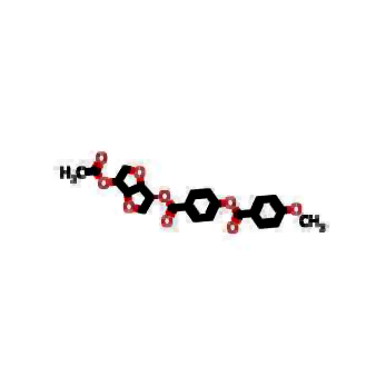 COc1ccc(C(=O)Oc2ccc(C(=O)O[C@@H]3COC4C(OC(C)=O)COC43)cc2)cc1